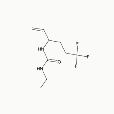 C=CC(CCC(F)(F)F)NC(=O)NCC